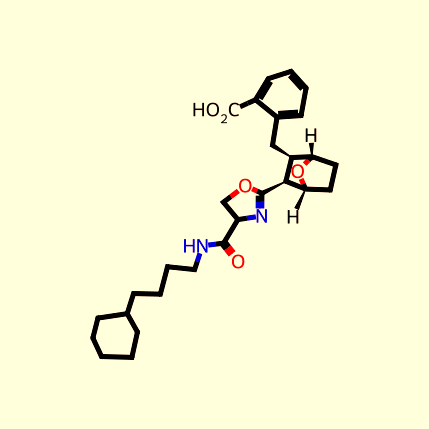 O=C(O)c1ccccc1C[C@@H]1[C@H](C2=NC(C(=O)NCCCCC3CCCCC3)CO2)[C@H]2CC[C@@H]1O2